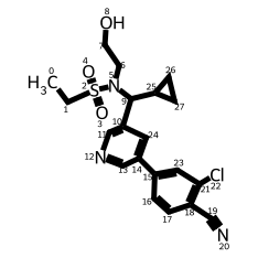 CCS(=O)(=O)N(CCO)C(c1cncc(-c2ccc(C#N)c(Cl)c2)c1)C1CC1